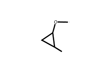 [CH2]OC1CC1C